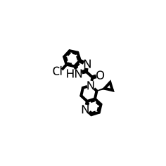 O=C(c1nc2cccc(Cl)c2[nH]1)N1CCc2ncccc2[C@@H]1C1CC1